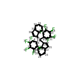 Fc1c(F)c(F)[c]([Ti]([c]2c(F)c(F)c(F)c(F)c2F)([CH]2C=Cc3ccccc32)[CH]2C=Cc3ccccc32)c(F)c1F